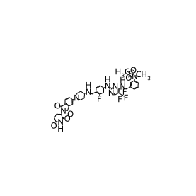 CN(c1cccc(CNc2nc(Nc3ccc(CNC4CCN(c5ccc6c(c5)C(=O)N(C5CCC(=O)NC5=O)C6=O)CC4)c(F)c3)ncc2C(F)(F)F)c1)S(C)(=O)=O